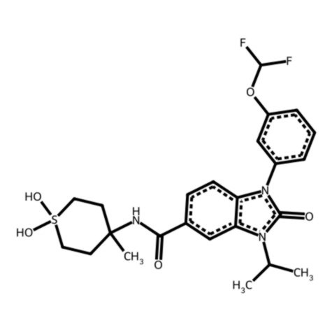 CC(C)n1c(=O)n(-c2cccc(OC(F)F)c2)c2ccc(C(=O)NC3(C)CCS(O)(O)CC3)cc21